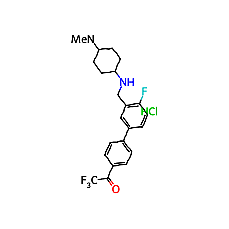 CNC1CCC(NCc2cc(-c3ccc(C(=O)C(F)(F)F)cc3)ccc2F)CC1.Cl